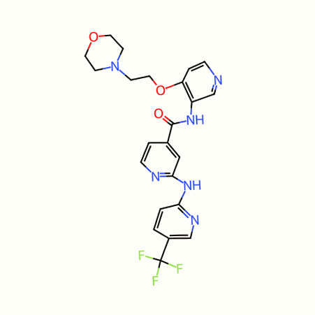 O=C(Nc1cnccc1OCCN1CCOCC1)c1ccnc(Nc2ccc(C(F)(F)F)cn2)c1